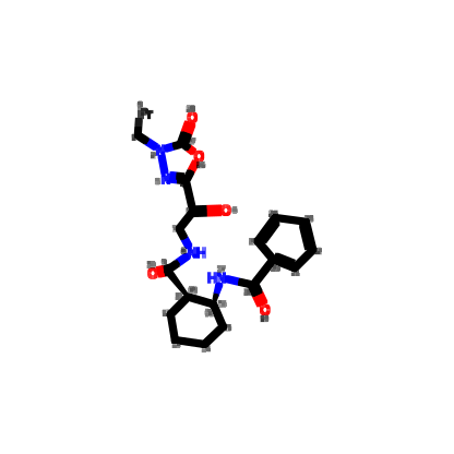 CC(C)Cn1nc(C(=O)CNC(=O)[C@@H]2CCCC[C@@H]2NC(=O)c2ccccc2)oc1=O